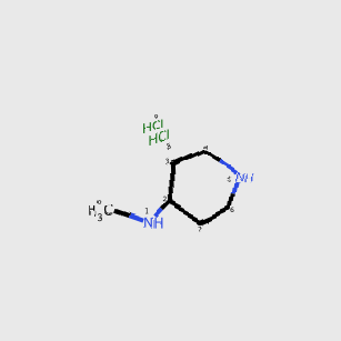 CNC1CCNCC1.Cl.Cl